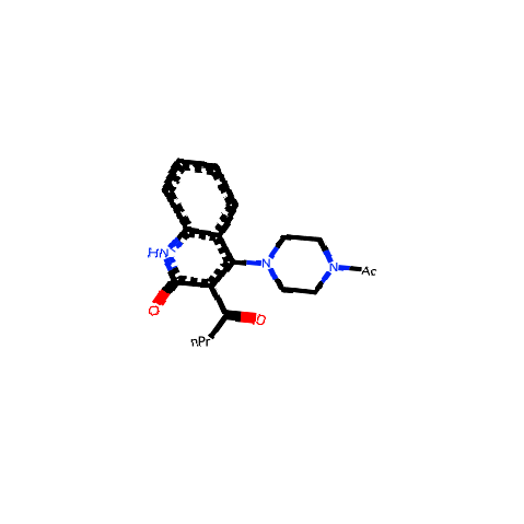 CCCC(=O)c1c(N2CCN(C(C)=O)CC2)c2ccccc2[nH]c1=O